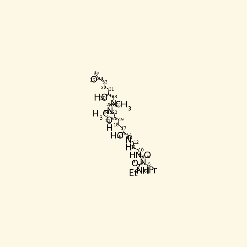 CCNC(=O)N(CC(C)C)C(=O)NCCCNCC(O)CCCC(O)CN(C)CN(C)CC(O)CCCC1CO1